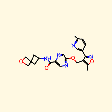 Cc1ccc(-c2noc(C)c2COc2cnc(C(=O)NC3CC4(COC4)C3)cn2)cn1